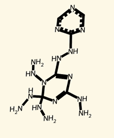 NNC1=NC(NN)(NN)N(NN)C(NNc2ncncn2)=N1